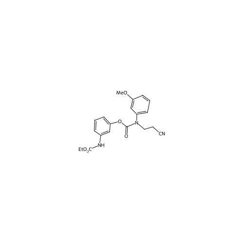 CCOC(=O)Nc1cccc(OC(=O)N(CCC#N)c2cccc(OC)c2)c1